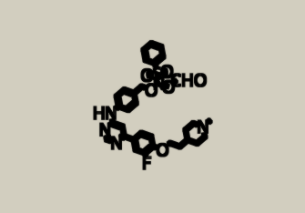 CN1CCC(CCOc2ccc(-c3cc(Nc4ccc(CON(OC=O)S(=O)(=O)c5ccccc5)cc4)ncn3)cc2F)CC1